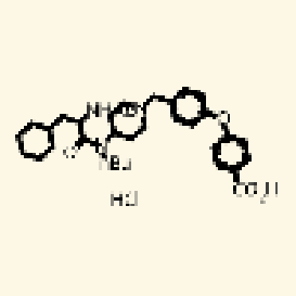 CCCCN(C(=O)C(CC1CCCCC1)NC(C)=O)C1CCN(Cc2ccc(Oc3ccc(C(=O)O)cc3)cc2)CC1.Cl